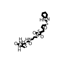 O=C(C[C@@H]1SCC2NC(=O)N[C@@H]21)NCCCN1C(=O)S/C(=C\c2ccc(Sc3nc4ccccc4[nH]3)o2)C1=O